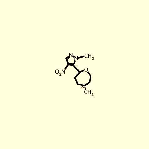 C[C@@H]1CCOC(c2c([N+](=O)[O-])cnn2C)CC1